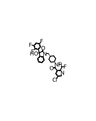 O=C(N[C@H]1CC[C@H](CN2C(=O)C(O)(c3cc(F)cc(F)c3F)c3ccccc32)CC1)c1cc(Cl)cnc1C(F)F